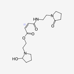 O=C(/C=C\C(=O)OCCN1CCCC1O)NCCN1CCCC1=O